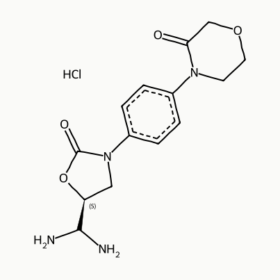 Cl.NC(N)[C@@H]1CN(c2ccc(N3CCOCC3=O)cc2)C(=O)O1